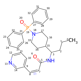 CCCC(NC(=O)/C=C\c1cccnc1)C1CCN(P(=O)(c2ccccc2)c2ccccc2)CC1